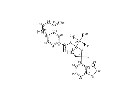 CC(C)(CC(O)(CNc1ccc2[nH]ccc(=O)c2c1)C(F)(F)F)c1cccc2c1OCC2